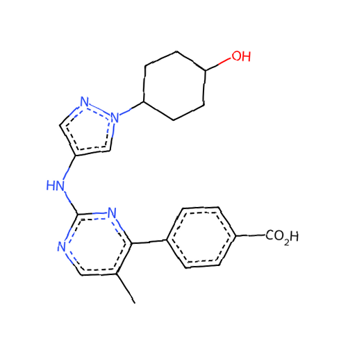 Cc1cnc(Nc2cnn(C3CCC(O)CC3)c2)nc1-c1ccc(C(=O)O)cc1